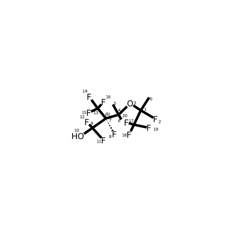 CC(F)(OC(C)(C)[C@@](F)(C(O)(F)F)C(F)(F)F)C(F)(F)F